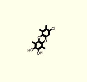 Cc1c(Cl)cc2c(c1C)Oc1c(C)c(O)c(O)c(C)c1O2